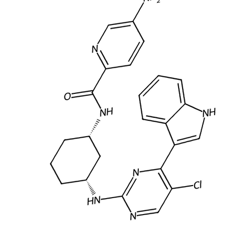 Nc1ccc(C(=O)N[C@H]2CCC[C@@H](Nc3ncc(Cl)c(-c4c[nH]c5ccccc45)n3)C2)nc1